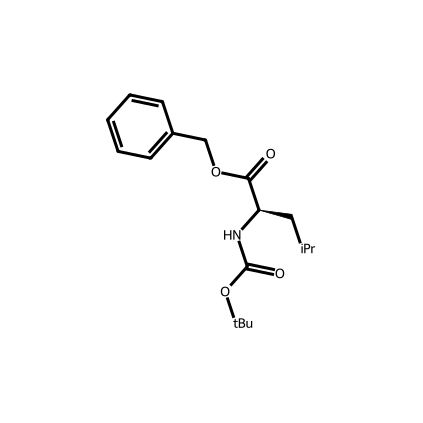 CC(C)C[C@@H](NC(=O)OC(C)(C)C)C(=O)OCc1ccccc1